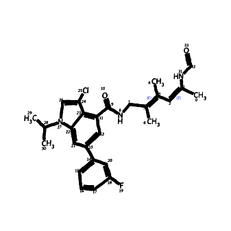 C/C(=C/C(C)=C(\C)CNC(=O)c1cc(-c2cccc(F)c2)cc2c1c(Cl)cn2C(C)C)NC=O